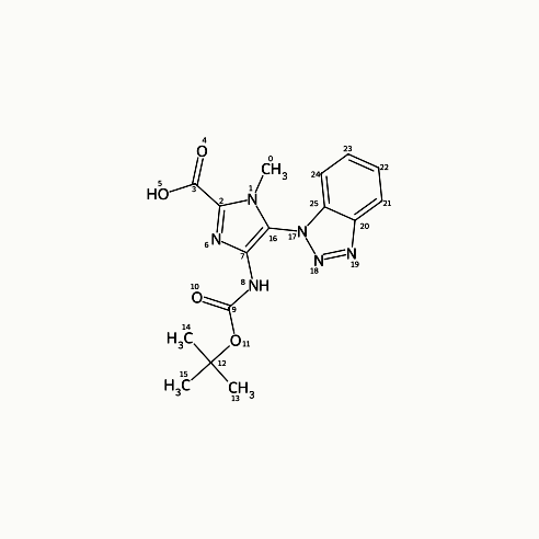 Cn1c(C(=O)O)nc(NC(=O)OC(C)(C)C)c1-n1nnc2ccccc21